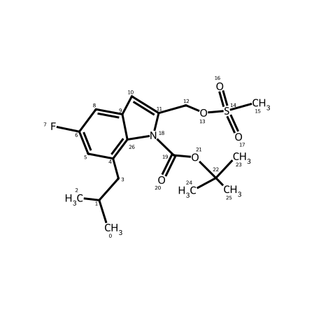 CC(C)Cc1cc(F)cc2cc(COS(C)(=O)=O)n(C(=O)OC(C)(C)C)c12